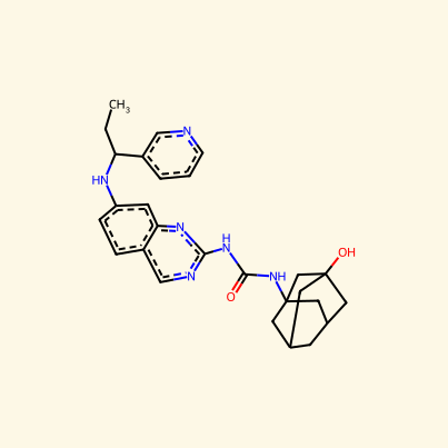 CCC(Nc1ccc2cnc(NC(=O)NC34CC5CC(CC(O)(C5)C3)C4)nc2c1)c1cccnc1